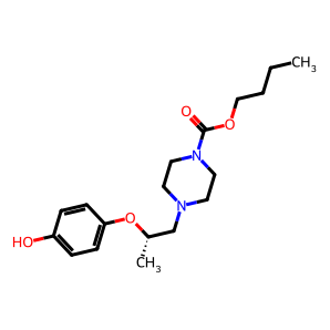 CCCCOC(=O)N1CCN(C[C@H](C)Oc2ccc(O)cc2)CC1